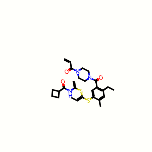 C=CC(=O)N1CCN(C(=O)c2cc(S/C(=C/C)SC(=C)NC(=O)C3CCC3)c(C)cc2CC)CC1